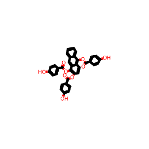 O=C(Oc1ccc2c(OC(=O)c3ccc(O)cc3)c3ccccc3cc2c1OC(=O)c1ccc(O)cc1)c1ccc(O)cc1